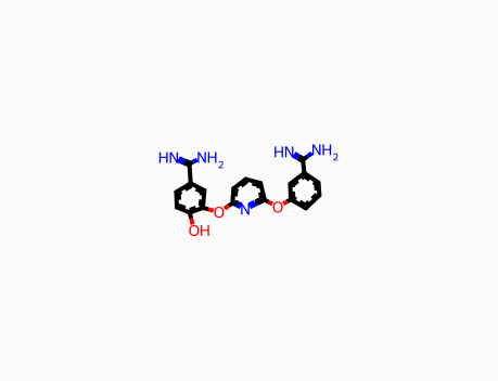 N=C(N)c1cccc(Oc2cccc(Oc3cc(C(=N)N)ccc3O)n2)c1